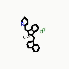 [Cl-].[Cl-].[Cr+2][C]1=C(Cc2cccc3ccccc23)c2ccccc2C1Cc1ccccn1